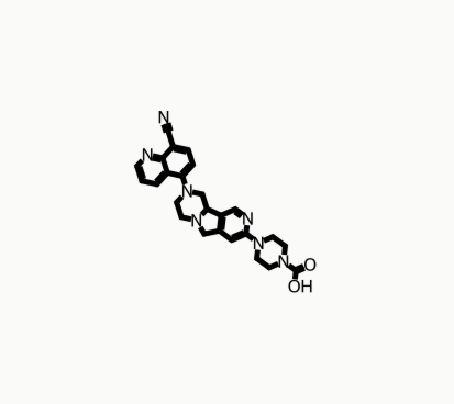 N#Cc1ccc(N2CCN3Cc4cc(N5CCN(C(=O)O)CC5)ncc4C3C2)c2cccnc12